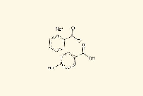 O=C(O)c1ccc(O)cc1.O=C([O-])c1ccccc1.[Na+]